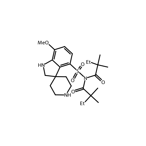 CCC(C)(C)C(=O)N(C(=O)C(C)(C)CC)S(=O)(=O)c1ccc(OC)c2c1C1(CCNCC1)CN2